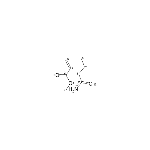 C=CC(=O)OC.CCCC(N)=O